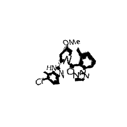 CO[C@@H]1C[C@@H](c2nc3ccc(Cl)c(C)c3[nH]2)N(C(=O)c2c(C)cccc2-n2nccn2)C1